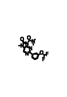 CN(C)C(=O)n1c(=O)n(C)c2cnc(-c3cccc(OC(F)F)c3)nc21